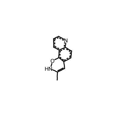 CC1=Cc2ccc3ncccc3c2ON1